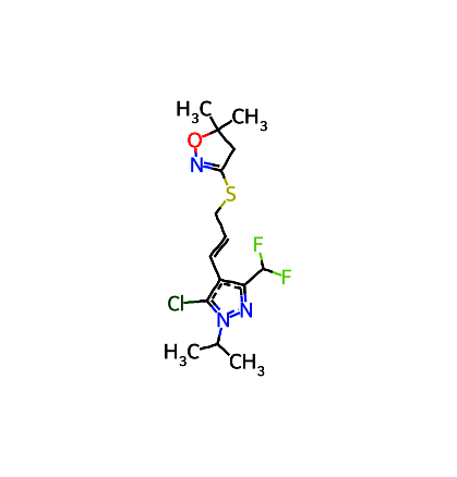 CC(C)n1nc(C(F)F)c(C=CCSC2=NOC(C)(C)C2)c1Cl